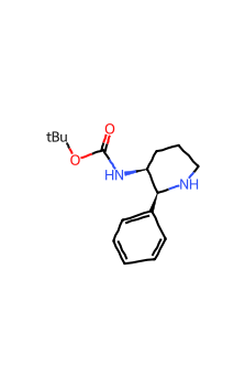 CC(C)(C)OC(=O)N[C@H]1CCCN[C@H]1c1ccccc1